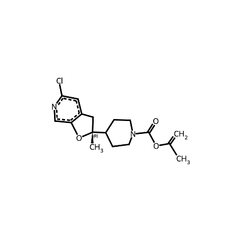 C=C(C)OC(=O)N1CCC([C@@]2(C)Cc3cc(Cl)ncc3O2)CC1